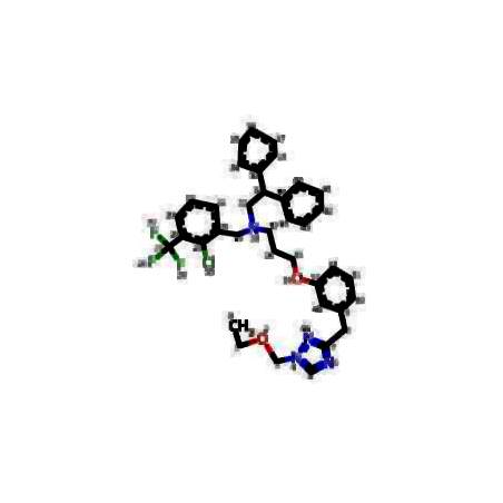 CCOCn1cnc(Cc2cccc(OCCCN(Cc3cccc(C(F)(F)F)c3Cl)CC(c3ccccc3)c3ccccc3)c2)n1